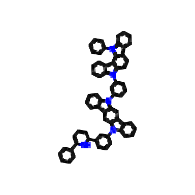 C1=CC(c2cccc(-n3c4ccccc4c4cc5c(cc43)c3ccccc3n5-c3cccc(-n4c5ccccc5c5c4ccc4c6ccccc6n(-c6ccccc6)c45)c3)c2)NC(c2ccccc2)=C1